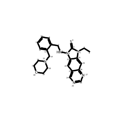 CCn1c(=S)n(NCc2ccccc2CN2CCOCC2)c2cc3cncnc3cc21